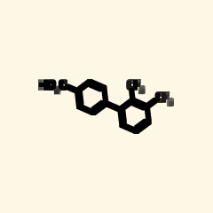 O=C(O)c1ccc(-c2cccc(C(F)(F)F)c2C(F)(F)F)cc1